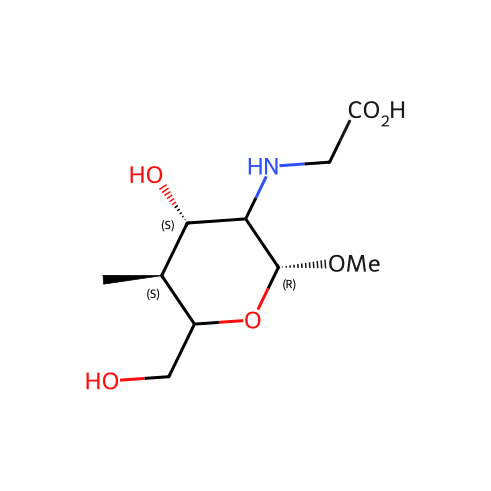 CO[C@@H]1OC(CO)[C@@H](C)[C@H](O)C1NCC(=O)O